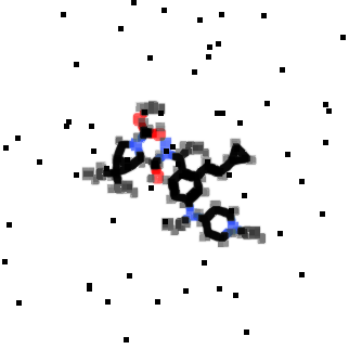 C[C@H](NC(=O)[C@@H]1C2C(CN1C(=O)OC(C)(C)C)C2(C)C)c1ccc(N(C)C2CCN(C)CC2)cc1/C=C/C1CC1